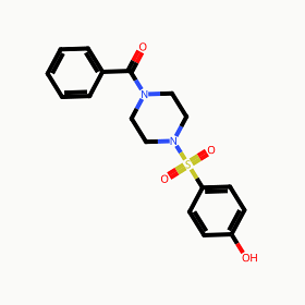 O=C(c1ccccc1)N1CCN(S(=O)(=O)c2ccc(O)cc2)CC1